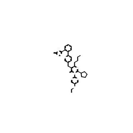 CCCCc1nc(C2CCCC2)n(-c2ncc(OCC)cn2)c(=O)c1Cc1ccc(-c2ccccc2-c2noc(=O)[nH]2)nc1